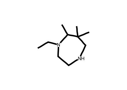 CCN1CCNCC(C)(C)C1C